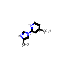 O=Cc1cn(-c2cc(C(=O)O)ccn2)cn1